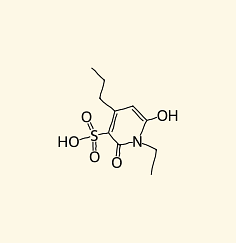 CCCc1cc(O)n(CC)c(=O)c1S(=O)(=O)O